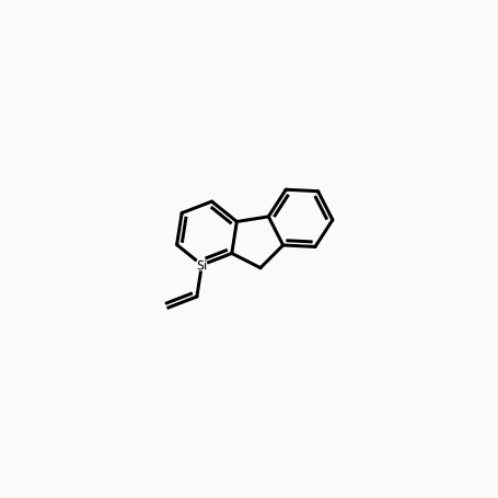 C=C[si]1cccc2c1Cc1ccccc1-2